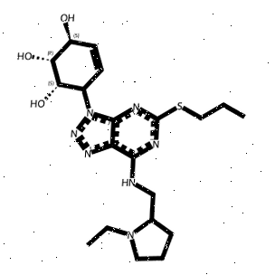 CCCSc1nc(NCC2CCCN2CC)c2nnn(C3C=C[C@H](O)[C@@H](O)[C@H]3O)c2n1